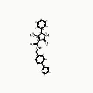 O=C(NCc1ccc(-c2cccs2)cc1)C1=C(O)C(c2ccccc2)NC1=O